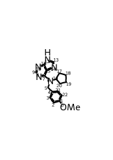 COc1ccc(CN(c2ncnc3[nH]cnc23)C2CCCC2)cc1